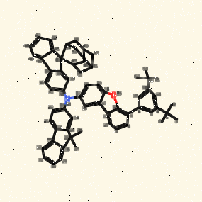 CC(C)(C)c1cc(-c2cccc3c2oc2ccc(N(c4ccc5c(c4)C(C)(C)c4ccccc4-5)c4ccc5c(c4)C4(c6ccccc6-5)C5CC6CC(C5)CC4C6)cc23)cc(C(C)(C)C)c1